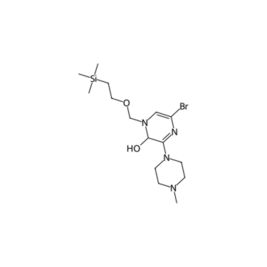 CN1CCN(C2=NC(Br)=CN(COCC[Si](C)(C)C)C2O)CC1